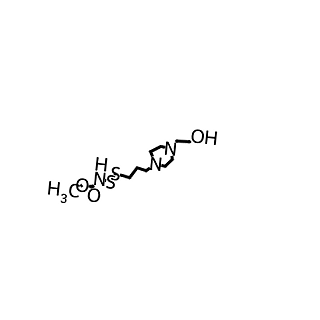 COC(=O)NSSCCCN1CCN(CCO)CC1